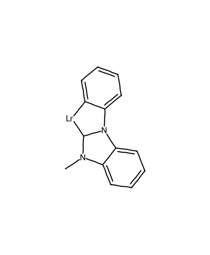 CN1c2ccccc2N2c3cccc[c]3[Lr][CH]12